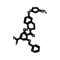 CN1CC[C@@H](Oc2ccc3c(c2)CCN(C(=O)c2c(O)cc(C(F)F)cc2OCc2ccccc2)C3)C1